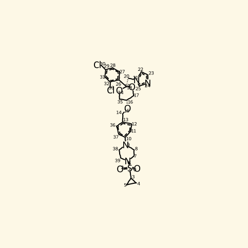 O=S(=O)(C1CC1)N1CCN(c2ccc(CO[C@H]3CO[C@](Cn4ccnc4)(c4ccc(Cl)cc4Cl)OC3)cc2)CC1